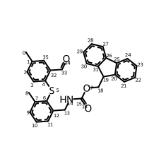 Cc1ccc(Sc2c(C)cccc2CNC(=O)OCC2c3ccccc3-c3ccccc32)c(C=O)c1